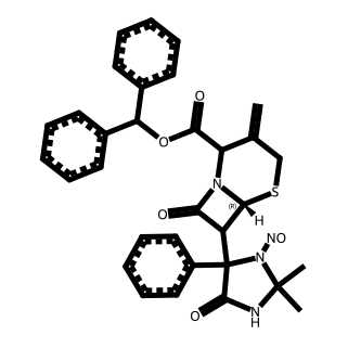 C=C1CS[C@@H]2C(C3(c4ccccc4)C(=O)NC(C)(C)N3N=O)C(=O)N2C1C(=O)OC(c1ccccc1)c1ccccc1